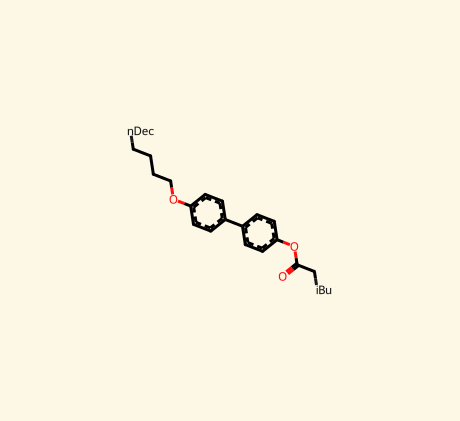 CCCCCCCCCCCCCCOc1ccc(-c2ccc(OC(=O)CC(C)CC)cc2)cc1